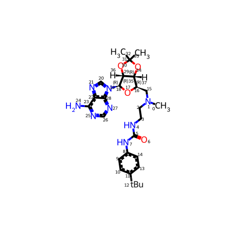 CN(CCNC(=O)Nc1ccc(C(C)(C)C)cc1)C[C@H]1O[C@@H](n2cnc3c(N)ncnc32)[C@@H]2OC(C)(C)O[C@@H]21